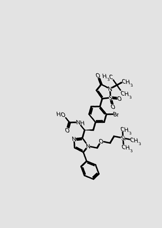 CC(C)(C)N1C(=O)C=C(c2ccc(C[C@H](NC(=O)O)c3ncc(-c4ccccc4)n3COCC[Si](C)(C)C)cc2Br)S1(=O)=O